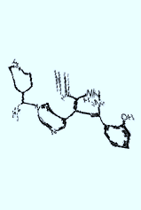 CC(C1CCNCC1)n1cc(C(/C=C(\N)c2ccccc2O)=C(N)N)cn1